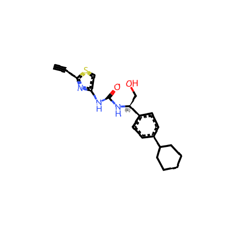 C#Cc1nc(NC(=O)N[C@@H](CO)c2ccc(C3CCCCC3)cc2)cs1